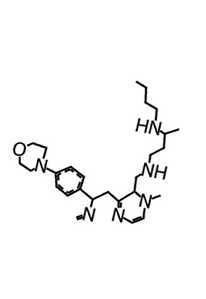 C=NC(CC1=NC=CN(C)C1CNCCC(C)NCCCC)c1ccc(N2CCOCC2)cc1